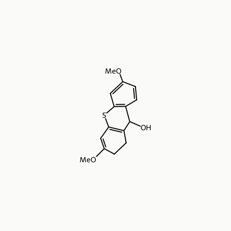 COC1=CC2=C(CC1)C(O)c1ccc(OC)cc1S2